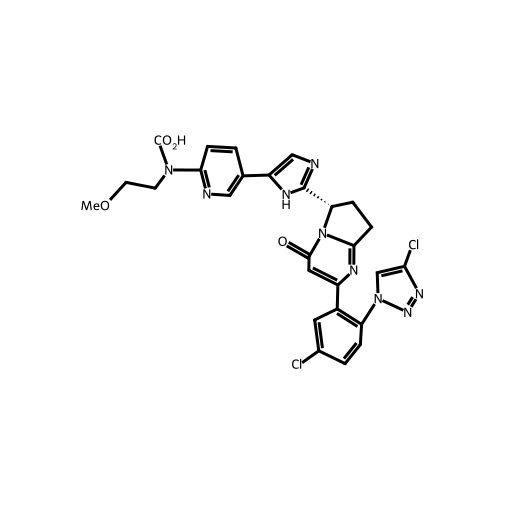 COCCN(C(=O)O)c1ccc(-c2cnc([C@@H]3CCc4nc(-c5cc(Cl)ccc5-n5cc(Cl)nn5)cc(=O)n43)[nH]2)cn1